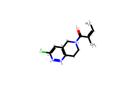 C/C=C(/C)C(=O)N1CCc2nnc(Cl)cc2C1